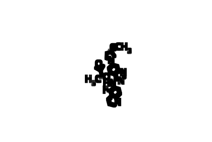 CO[C@H]1CCN(c2cc(O[C@H](C)C3COC3)c3c(Nc4ccc5ncccc5c4F)ncnc3c2)C1